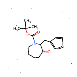 CC(C)(C)OC(=O)N1CCCCC(=O)C1Cc1ccccc1